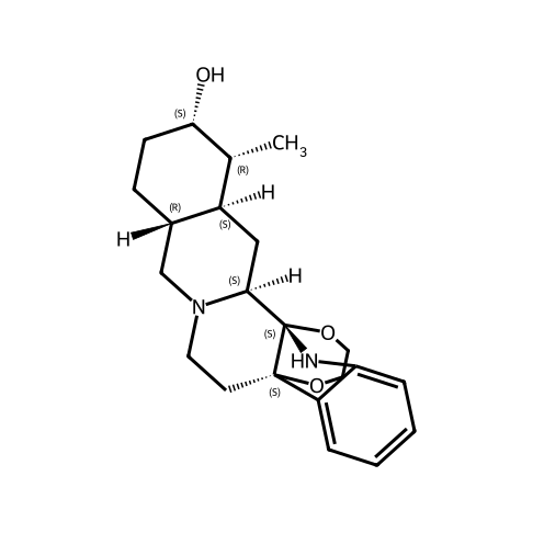 C[C@@H]1[C@H]2C[C@@H]3N(CC[C@@]45OCCO[C@@]34Nc3ccccc35)C[C@@H]2CC[C@@H]1O